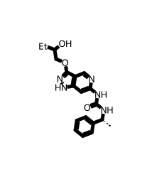 CCC(O)COc1n[nH]c2cc(NC(=O)N[C@H](C)c3ccccc3)ncc12